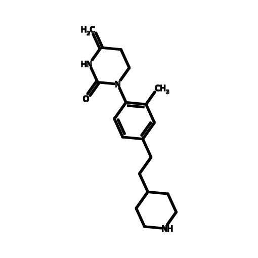 C=C1CCN(c2ccc(CCC3CCNCC3)cc2C)C(=O)N1